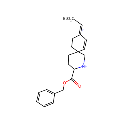 CCOC(=O)/C=C1/C=CC2(CC1)CCC(C(=O)OCc1ccccc1)NC2